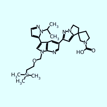 CC(C)n1nccc1-c1cn(COCC[Si](C)(C)C)c2ncc(-c3cc4n(n3)CCC43CCN(C(=O)O)C3)cc12